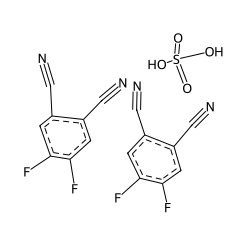 N#Cc1cc(F)c(F)cc1C#N.N#Cc1cc(F)c(F)cc1C#N.O=S(=O)(O)O